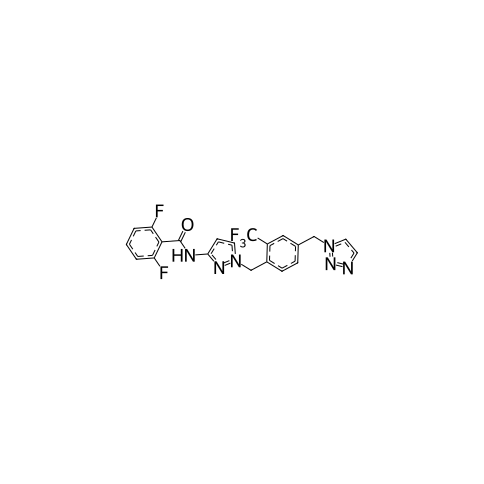 O=C(Nc1ccn(Cc2ccc(Cn3ccnn3)cc2C(F)(F)F)n1)c1c(F)cccc1F